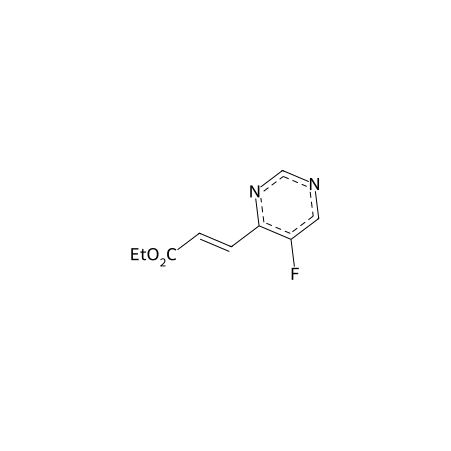 CCOC(=O)/C=C/c1ncncc1F